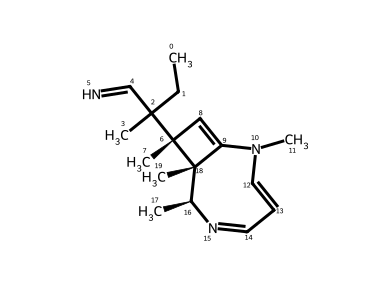 CCC(C)(C=N)[C@]1(C)C=C2N(C)/C=C/C=N\[C@@H](C)[C@@]21C